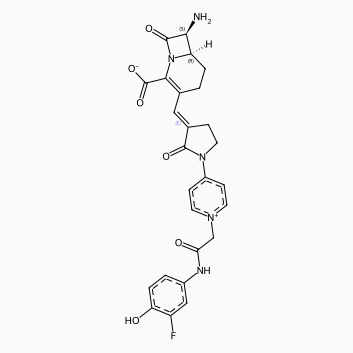 N[C@@H]1C(=O)N2C(C(=O)[O-])=C(/C=C3\CCN(c4cc[n+](CC(=O)Nc5ccc(O)c(F)c5)cc4)C3=O)CC[C@H]12